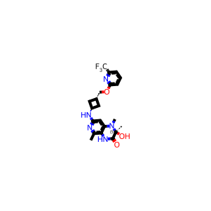 Cc1nc(N[C@H]2C[C@@H](COc3cccc(C(F)(F)F)n3)C2)cc2c1NC(=O)[C@](C)(O)N2C